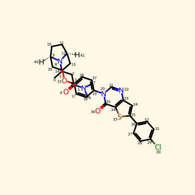 CC(CC(=O)N(C)C)N1[C@@H]2CC[C@H]1C[C@@H](Oc1ccc(-n3cnc4cc(-c5ccc(Cl)cc5)sc4c3=O)cc1)C2